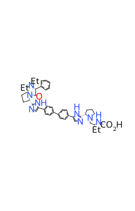 CC[C@H](CN1CCC[C@H]1c1ncc(-c2ccc(-c3ccc(-c4cnc([C@@H]5CCCN5C(=O)[C@@H](c5ccccc5)N(CC)CC)[nH]4)cc3)cc2)[nH]1)NC(=O)O